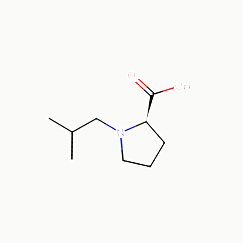 CC(C)CN1CCC[C@@H]1C(=O)O